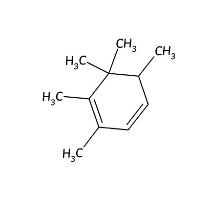 CC1=C(C)C(C)(C)C(C)C=C1